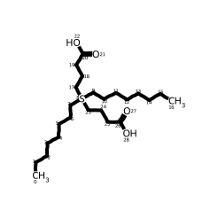 CCCCCCCCS(CCCCCCCC)(CCCC(=O)O)CCCC(=O)O